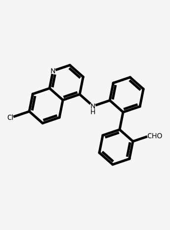 O=Cc1ccccc1-c1ccccc1Nc1ccnc2cc(Cl)ccc12